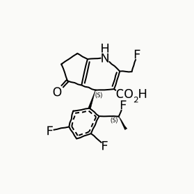 C[C@H](F)c1c(F)cc(F)cc1[C@@H]1C(C(=O)O)=C(CF)NC2=C1C(=O)CC2